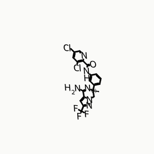 C[C@@]1(c2cccc(NC(=O)c3ncc(Cl)cc3Cl)c2)Cn2nc(C(F)(F)F)cc2C(N)=N1